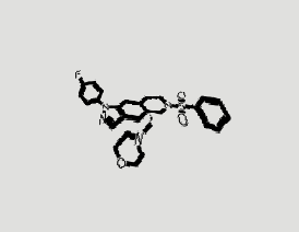 O=S(=O)(c1ccccc1)N1CCC2=Cc3c(cnn3-c3ccc(F)cc3)C[C@]2(CN2CCOCC2)C1